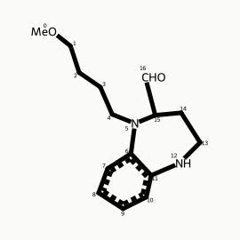 COCCCCN1c2ccccc2NCCC1C=O